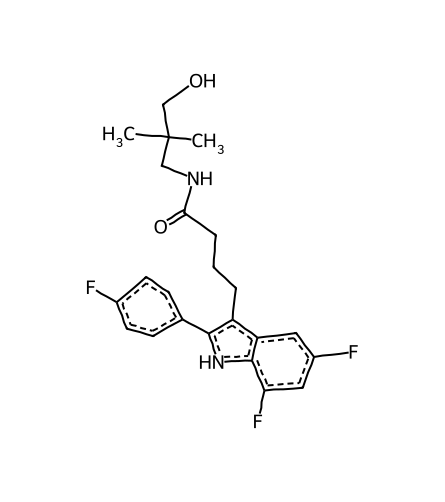 CC(C)(CO)CNC(=O)CCCc1c(-c2ccc(F)cc2)[nH]c2c(F)cc(F)cc12